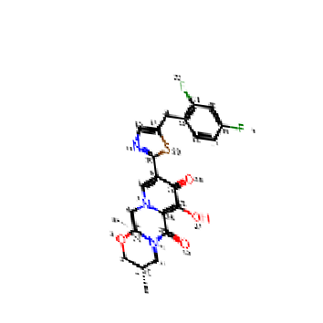 C[C@@H]1CO[C@@]2(C)Cn3cc(-c4ncc(Cc5ccc(F)cc5F)s4)c(=O)c(O)c3C(=O)N2C1